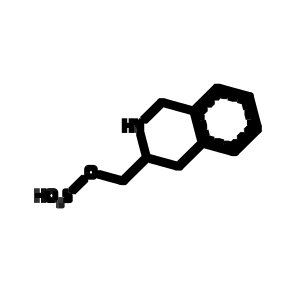 O=S(=O)(O)OCC1Cc2ccccc2CN1